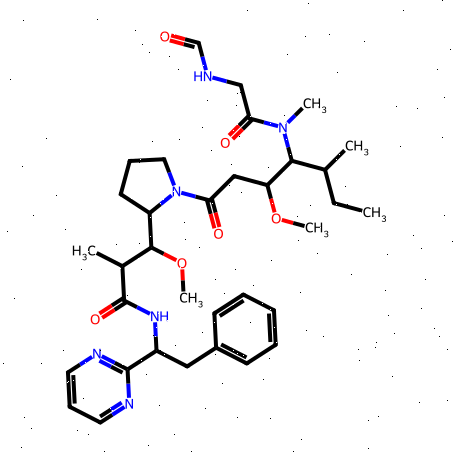 CCC(C)C(C(CC(=O)N1CCCC1C(OC)C(C)C(=O)NC(Cc1ccccc1)c1ncccn1)OC)N(C)C(=O)CNC=O